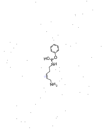 NC/C=C\CCNP(O)Oc1ccccc1